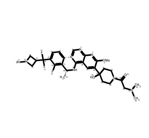 COc1nc2ncnc(N[C@H](C)c3cccc(C(F)(F)C4CN(C(C)C)C4)c3F)c2cc1C1(O)CCN(C(=O)CN(C)C)CC1